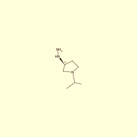 CC(C)N1CC[C@H](NN)C1